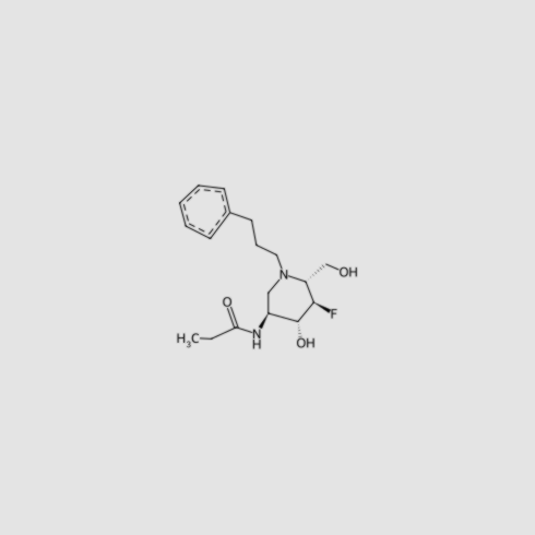 CCC(=O)N[C@H]1CN(CCCc2ccccc2)[C@H](CO)[C@@H](F)[C@@H]1O